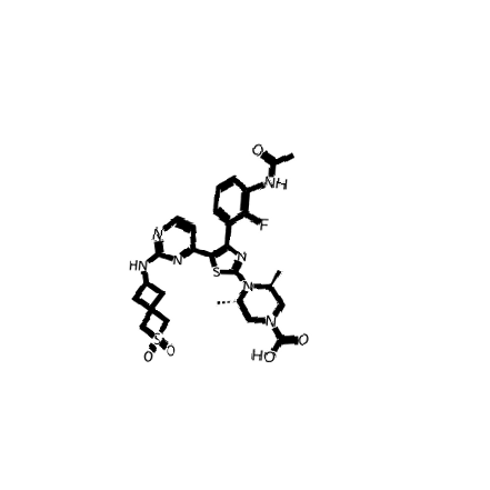 CC(=O)Nc1cccc(-c2nc(N3[C@@H](C)CN(C(=O)O)C[C@@H]3C)sc2-c2ccnc(NC3CC4(C3)CS(=O)(=O)C4)n2)c1F